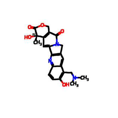 CN(C)Cc1c(O)ccc2nc3c(cc12)Cn1c-3cc2c(c1=O)COC(=O)[C@@]2(C)O